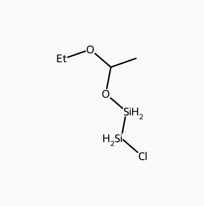 CCOC(C)O[SiH2][SiH2]Cl